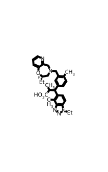 CC[C@@H]1CN(Cc2cc(C(c3ccc4c(nnn4CC)c3C)C(C)C(=O)O)ccc2C)Cc2ncccc2O1